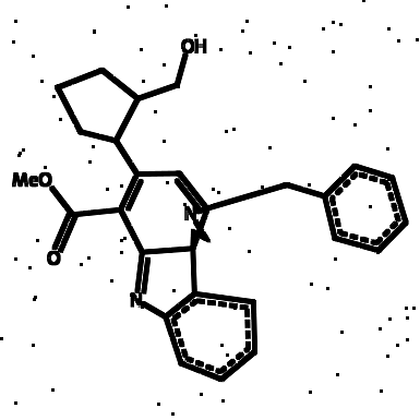 COC(=O)C1=C(C2CCCC2CO)C=C2N(Cc3ccccc3)CCC23C1=Nc1ccccc13